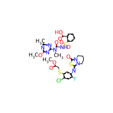 COC(=O)CSc1cc(/N=c2\sc(=O)n3n2CCCC3)c(F)cc1Cl.COc1nc(C)nc(N(C)C(=O)NS(=O)(=O)c2ccccc2C(=O)O)n1